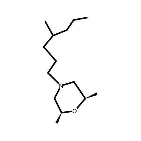 CCCC(C)CCCN1C[C@@H](C)O[C@@H](C)C1